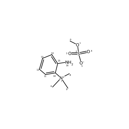 COS(=O)(=O)[O-].C[N+](C)(C)c1ccccc1N